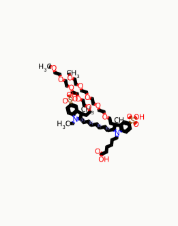 CCN1/C(=C/C=C/C=C/C=C/C2=[N+](CCCCCC(=O)O)c3ccc(S(=O)(=O)O)cc3C2(C)CCOCCOCCOCCOCCOC)C(C)(CCOCCOCCOCCOCCOC)c2cc(S(=O)(=O)O)ccc21